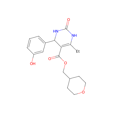 CCC1=C(C(=O)OCC2CCOCC2)C(c2cccc(O)c2)NC(=O)N1